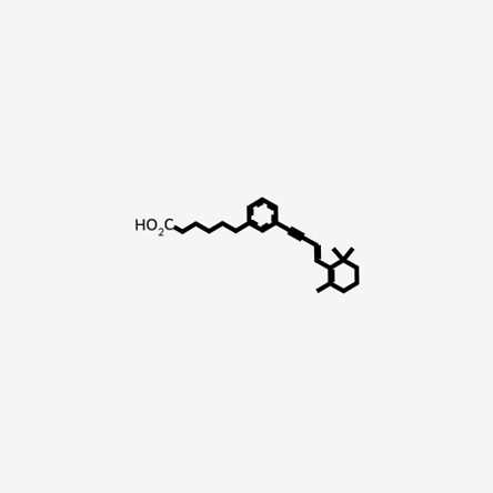 CC1=C(C=CC#Cc2cccc(CCCCCC(=O)O)c2)C(C)(C)CCC1